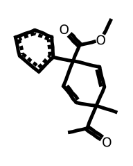 COC(=O)C1(c2ccccc2)C=CC(C)(C(C)=O)C=C1